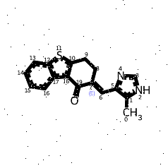 Cc1[nH]cnc1/C=C1\CCc2sc3ccccc3c2C1=O